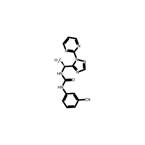 C[C@H](NC(=O)Nc1cccc(C#N)c1)c1ncnn1-c1ncccn1